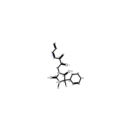 C=C/C=C\C(=C)C(=O)CN1C(=O)N(C)C(C)(C2C=CCCC2)C1=O